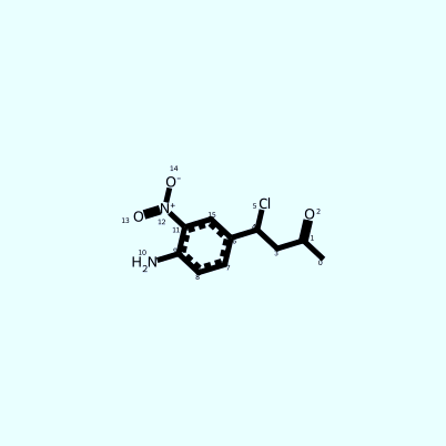 CC(=O)CC(Cl)c1ccc(N)c([N+](=O)[O-])c1